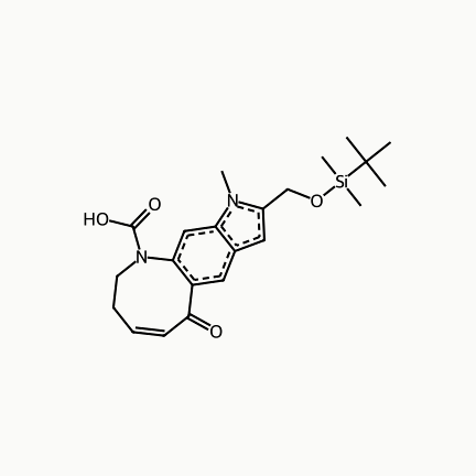 Cn1c(CO[Si](C)(C)C(C)(C)C)cc2cc3c(cc21)N(C(=O)O)CCC=CC3=O